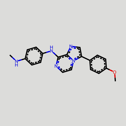 CNc1ccc(Nc2nccn3c(-c4ccc(OC)cc4)cnc23)cc1